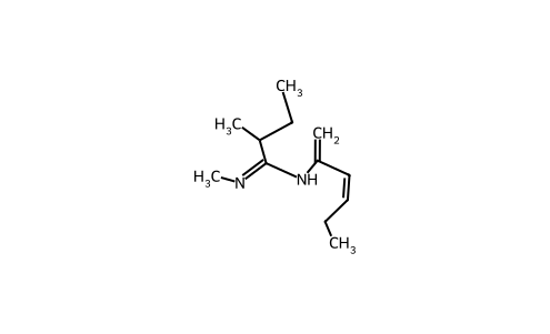 C=C(/C=C\CC)N/C(=N/C)C(C)CC